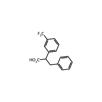 O=C(O)C(Cc1ccccc1)c1cccc(C(F)(F)F)c1